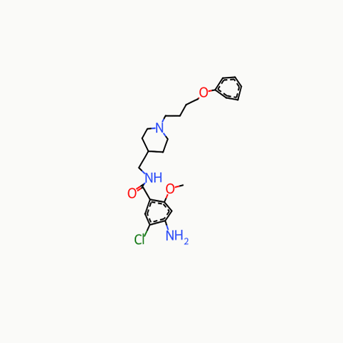 COc1cc(N)c(Cl)cc1C(=O)NCC1CCN(CCCCOc2ccccc2)CC1